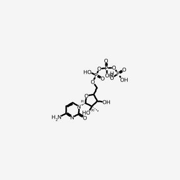 C[C@@]1(O)C(O)C(COP(=O)(O)OP(=O)(O)OP(=O)(O)O)O[C@H]1n1ccc(N)nc1=O